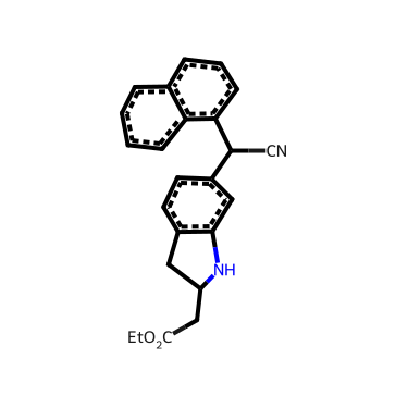 CCOC(=O)CC1Cc2ccc(C(C#N)c3cccc4ccccc34)cc2N1